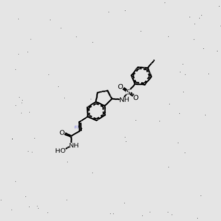 Cc1ccc(S(=O)(=O)NC2CCc3cc(/C=C/C(=O)NO)ccc32)cc1